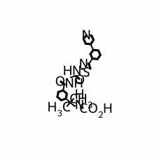 CC(C)(CNC(=O)O)c1cccc(C(=O)NCC(=O)Nc2nc(-c3cccc(-c4ccncc4)c3)cs2)c1